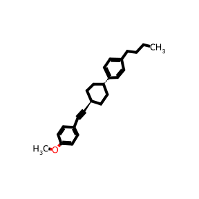 CCCCc1ccc([C@H]2CC[C@H](C#Cc3ccc(OC)cc3)CC2)cc1